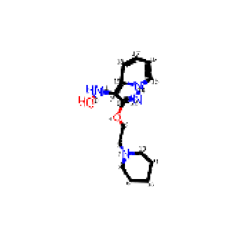 ONc1c(OCCN2CCCCC2)nn2ccccc12